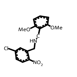 COc1cccc(OC)c1CNCc1cc(Cl)ccc1[N+](=O)[O-]